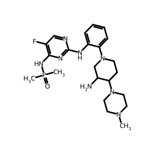 CN1CCN(C2CCN(c3ccccc3Nc3ncc(F)c(NP(C)(C)=O)n3)CC2N)CC1